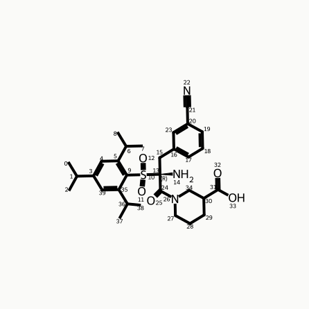 CC(C)c1cc(C(C)C)c(S(=O)(=O)[C@](N)(Cc2cccc(C#N)c2)C(=O)N2CCCC(C(=O)O)C2)c(C(C)C)c1